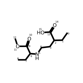 CCC(CCNC(CC)C(=O)OC)C(=O)O